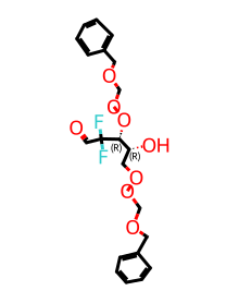 O=CC(F)(F)[C@H](OOCOCc1ccccc1)[C@H](O)COOCOCc1ccccc1